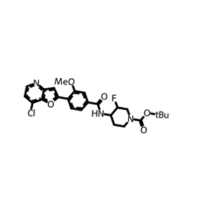 COc1cc(C(=O)NC2CCN(C(=O)OC(C)(C)C)CC2F)ccc1-c1cc2nccc(Cl)c2o1